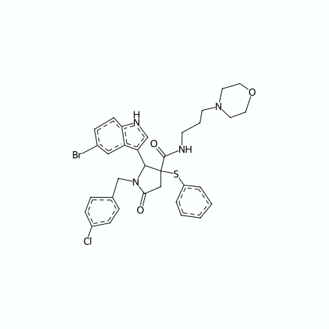 O=C1CC(Sc2ccccc2)(C(=O)NCCCN2CCOCC2)C(c2c[nH]c3ccc(Br)cc23)N1Cc1ccc(Cl)cc1